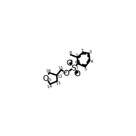 Cc1ccccc1S(=O)(=O)OCC1CCOC1